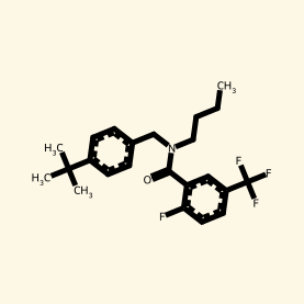 CCCCN(Cc1ccc(C(C)(C)C)cc1)C(=O)c1cc(C(F)(F)F)ccc1F